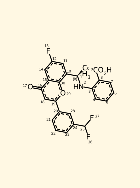 C[C@@H](Nc1ccccc1C(=O)O)c1cc(F)cc2c(=O)cc(-c3cccc(C(F)F)c3)oc12